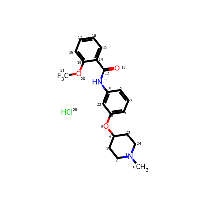 CN1CCC(Oc2cccc(NC(=O)c3ccccc3OC(F)(F)F)c2)CC1.Cl